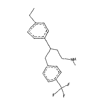 CCc1ccc(C(CCNC)Cc2ccc(C(F)(F)F)cc2)cc1